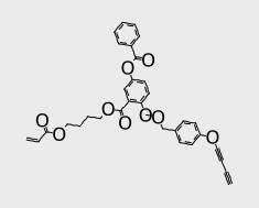 C#CC#COc1ccc(COOc2ccc(OC(=O)c3ccccc3)cc2C(=O)OCCCCOC(=O)C=C)cc1